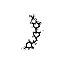 FC1CC(CC(F)(F)C2C(F)CC(Cl)CC2F)CCC1C1CC(F)C(OC(F)(F)F)C(F)C1